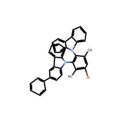 N#Cc1cc(Br)c(C#N)c(-n2c3ccccc3c3cc(-c4ccccc4)ccc32)c1-n1c2ccccc2c2ccccc21